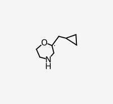 C1CO[C](CC2CC2)CN1